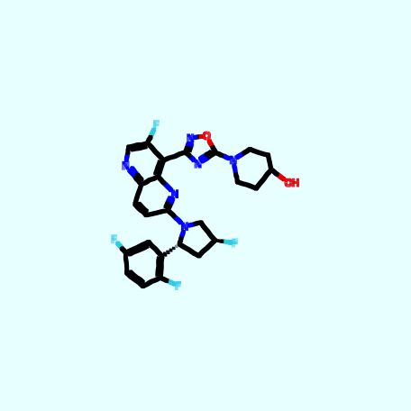 OC1CCN(c2nc(-c3c(F)cnc4ccc(N5C[C@@H](F)C[C@@H]5c5cc(F)ccc5F)nc34)no2)CC1